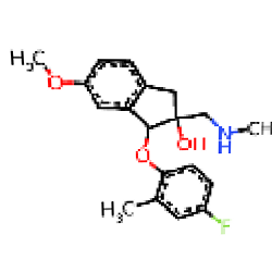 CNCC1(O)Cc2ccc(OC)cc2C1Oc1ccc(F)cc1C